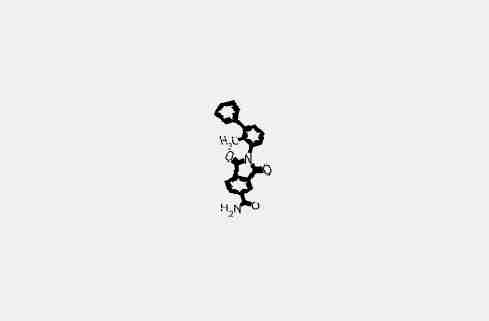 Cc1c(-c2ccccc2)cccc1N1C(=O)c2ccc(C(N)=O)cc2C1=O